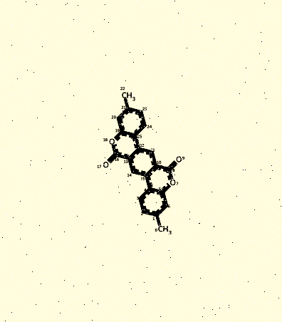 Cc1ccc2c(c1)oc(=O)c1cc3c(cc12)c(=O)oc1cc(C)ccc13